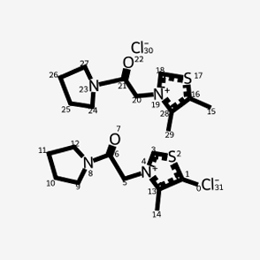 Cc1sc[n+](CC(=O)N2CCCC2)c1C.Cc1sc[n+](CC(=O)N2CCCC2)c1C.[Cl-].[Cl-]